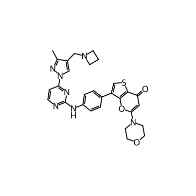 Cc1nn(-c2ccnc(Nc3ccc(-c4csc5c(=O)cc(N6CCOCC6)oc45)cc3)n2)cc1CN1CCC1